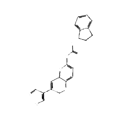 N=C/C(=C\N)C1=CC2NC(NC(=O)N[C@H]3CCc4ccccc43)=CC=C2NC1